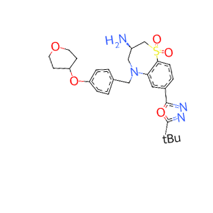 CC(C)(C)c1nnc(-c2ccc3c(c2)N(Cc2ccc(OC4CCOCC4)cc2)C[C@@H](N)CS3(=O)=O)o1